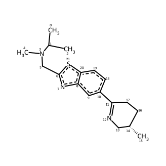 CC(C)N(C)Cc1nc2cc(C3=NC[C@@H](C)CC3)ccc2s1